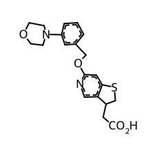 O=C(O)CC1CSc2cc(OCc3cccc(N4CCOCC4)c3)ncc21